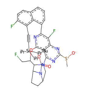 CC(C)[Si](C#Cc1c(F)ccc2cccc(-c3nc4c5c(nc([S+](C)[O-])nc5c3F)N3CC5CCC(C3C(CF)O4)N5C(=O)OC(C)(C)C)c12)(C(C)C)C(C)C